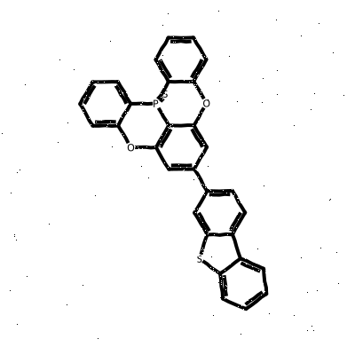 S=P12c3ccccc3Oc3cc(-c4ccc5c(c4)sc4ccccc45)cc(c31)Oc1ccccc12